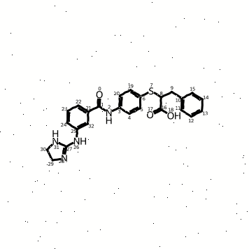 O=C(Nc1ccc(SC(Cc2ccccc2)C(=O)O)cc1)c1cccc(NC2=NCCN2)c1